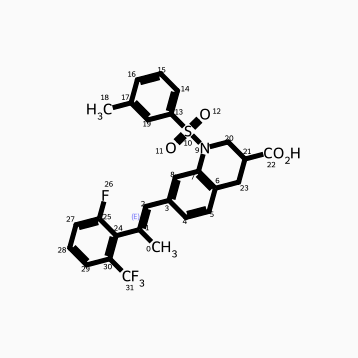 C/C(=C\c1ccc2c(c1)N(S(=O)(=O)c1cccc(C)c1)CC(C(=O)O)C2)c1c(F)cccc1C(F)(F)F